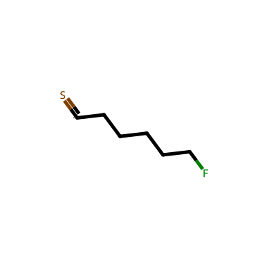 FCCCCC[C]=S